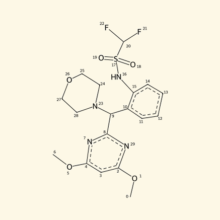 COc1cc(OC)nc(C(c2ccccc2NS(=O)(=O)C(F)F)N2CCOCC2)n1